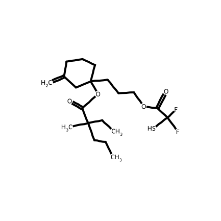 C=C1CCCC(CCCOC(=O)C(F)(F)S)(OC(=O)C(C)(CC)CCC)C1